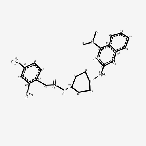 CN(C)c1nc(N[C@H]2CC[C@@H](CNCc3ccc(C(F)(F)F)cc3C(F)(F)F)CC2)nc2ccccc12